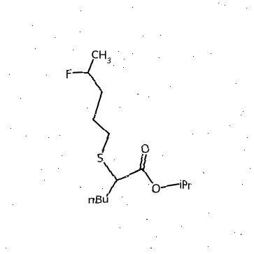 CCCCC(SCCCC(C)F)C(=O)OC(C)C